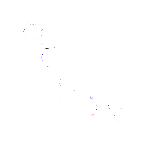 CC(CCNC(=O)OC(C)(C)C)N1CCC(NC(CO)c2ccccc2)CC1